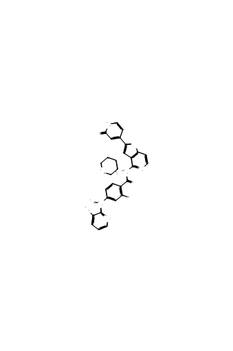 O=C(c1ccc(-n2nnc3cccnc32)cc1F)N(c1nccc2sc(-c3cc[nH]c(=O)c3)cc12)[C@@H]1CCCNC1